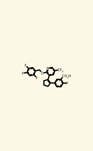 O=C(O)c1cc(C2=C(c3cc(C(F)(F)F)cnc3OCc3cc(F)c(F)cc3F)CCC2)ccc1F